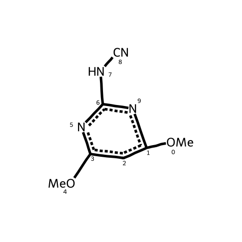 COc1cc(OC)nc(NC#N)n1